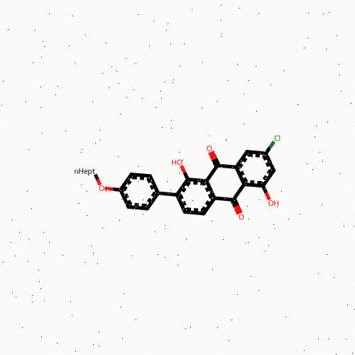 CCCCCCCOc1ccc(-c2ccc3c(c2O)C(=O)c2cc(Cl)cc(O)c2C3=O)cc1